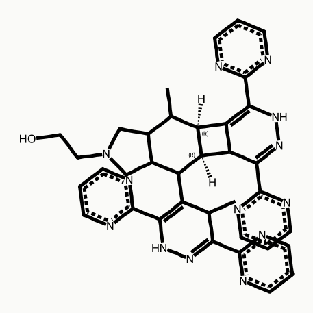 CC1C(c2ncccn2)=NNC(c2ncccn2)=C1C1C2CN(CCO)CC2C(C)[C@H]2C3=C(c4ncccn4)NN=C(c4ncccn4)C3[C@@H]12